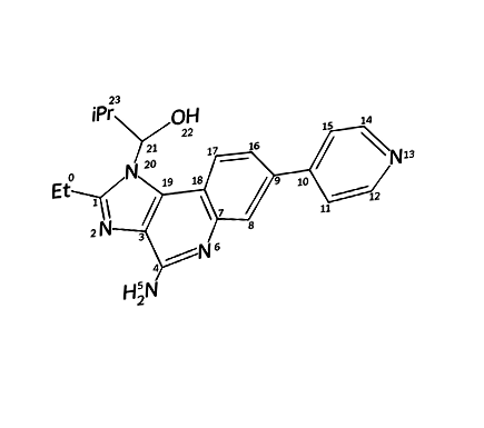 CCc1nc2c(N)nc3cc(-c4ccncc4)ccc3c2n1C(O)C(C)C